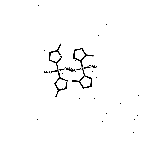 CO[Si](OC)(C1CCC(C)C1)C1CCC(C)C1.CO[Si](OC)(C1CCCC1C)C1CCCC1C